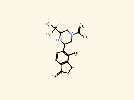 BC(C)(C)C1CN(C(=C)C)CC(c2ccc3c(c2C)CCC3=C)N1